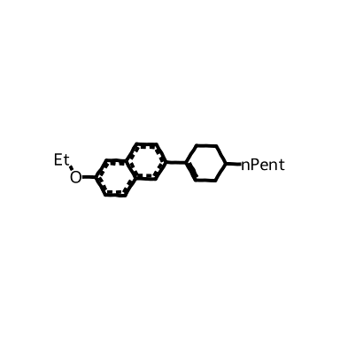 CCCCCC1CC=C(c2ccc3cc(OCC)ccc3c2)CC1